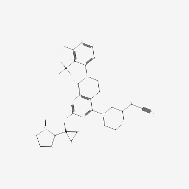 CN1CCCC1C1(Oc2nc3c(c(N4CCNC(CC#N)C4)n2)CCN(c2cccc(F)c2C(F)(F)F)C3)CC1